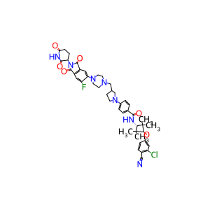 CC1(C)[C@H](NC(=O)c2ccc(N3CCC(CN4CCN(c5cc6c(cc5F)C(=O)N(C5CCC(=O)NC5=O)C6=O)CC4)C3)cc2)C(C)(C)[C@H]1Oc1ccc(C#N)c(Cl)c1